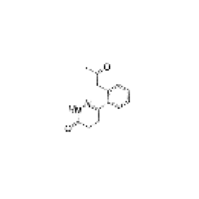 CC(=O)Cc1ccccc1C1=NNC(=O)CC1